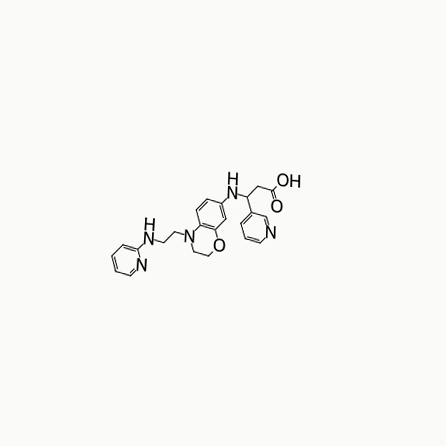 O=C(O)CC(Nc1ccc2c(c1)OCCN2CCNc1ccccn1)c1cccnc1